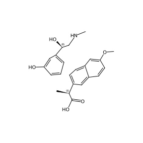 CNC[C@H](O)c1cccc(O)c1.COc1ccc2cc([C@H](C)C(=O)O)ccc2c1